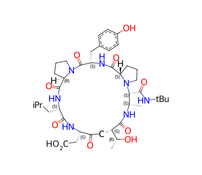 CC(C)C[C@@H]1NC(=O)[C@H]2CCCN2C(=O)[C@H](Cc2ccc(O)cc2)NC(=O)[C@@H]2CCCN2[C@H](C(=O)NC(C)(C)C)[C@H](C)NC(=O)[C@H]([C@@H](C)O)CC(=O)[C@H](CC(=O)O)NC1=O